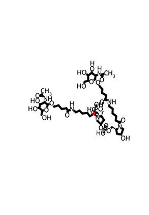 CC(=O)NC1C(OCCCCC(=O)NCCCCCC(=O)N2C[C@H](O)C[C@H]2COP(=O)(O)O[C@@H]2C[C@@H](COP(=O)(O)O)N(C(=O)CCCCCNC(=O)CCCCOC3OC(CO)C(O)C(O)C3NC(C)=O)C2)OC(CO)C(O)C1O